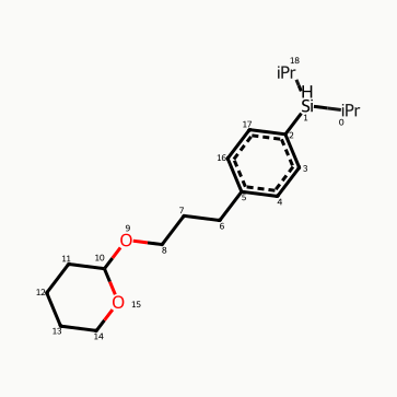 CC(C)[SiH](c1ccc(CCCOC2CCCCO2)cc1)C(C)C